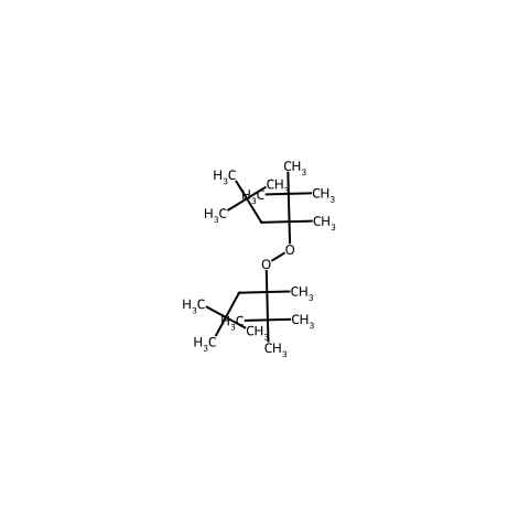 CC(C)(C)CC(C)(OOC(C)(CC(C)(C)C)C(C)(C)C)C(C)(C)C